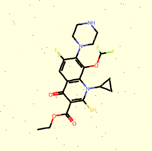 CCOC(=O)c1c(S)n(C2CC2)c2c(OC(F)F)c(N3CCNCC3)c(F)cc2c1=O